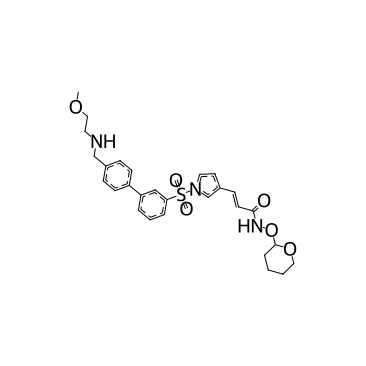 COCCNCc1ccc(-c2cccc(S(=O)(=O)n3ccc(C=CC(=O)NOC4CCCCO4)c3)c2)cc1